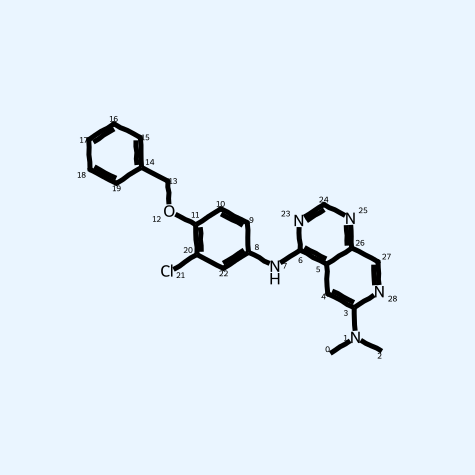 CN(C)c1cc2c(Nc3ccc(OCc4ccccc4)c(Cl)c3)ncnc2cn1